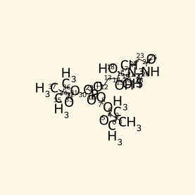 CC(C)(C)C(=O)OCOP(=O)(OCCC(O)[C@@](C)(O)[C@@H](O)n1ccc(=O)[nH]c1=S)OCOC(=O)C(C)(C)C